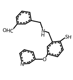 O=Cc1cccc(CNCc2cc(Oc3cccnc3)ccc2S)c1